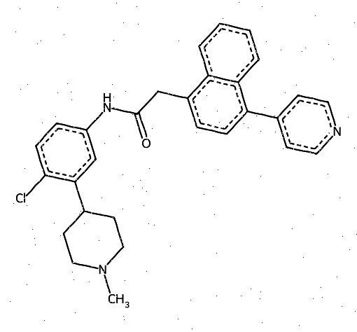 CN1CCC(c2cc(NC(=O)Cc3ccc(-c4ccncc4)c4ccccc34)ccc2Cl)CC1